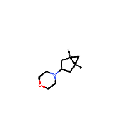 C1CN(C2C[C@@H]3C[C@@H]3C2)CCO1